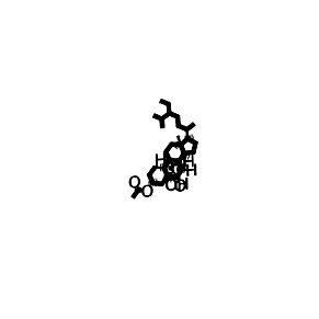 CCC(CCC(C)[C@H]1CC[C@H]2[C@@H]3[C@H]4OC[C@@]5(CC[C@H](OC(C)=O)C[C@]5(O)C4=O)[C@H]3CC[C@]12C)C(C)C